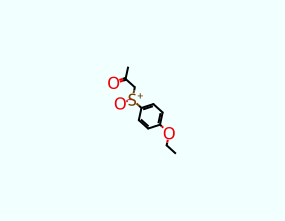 CCOc1ccc([S+]([O-])CC(C)=O)cc1